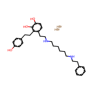 Br.Br.Oc1ccc(CCc2c(CCNCCCCCCNCCc3ccccc3)ccc(O)c2O)cc1